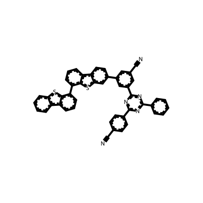 N#Cc1ccc(-c2nc(-c3ccccc3)nc(-c3cc(C#N)cc(-c4ccc5c(c4)sc4c(-c6cccc7c6sc6ccccc67)cccc45)c3)n2)cc1